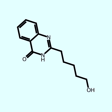 O=c1[nH]c(CCCCCO)nc2ccccc12